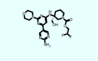 Nc1ncc(-c2cc(N[C@@]3(CO)CCCN(C(=O)OCC(F)F)C3)nc(N3CCOCC3)n2)cn1